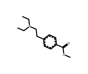 CCN(CC)CCc1ccc(C(=O)OC)cc1